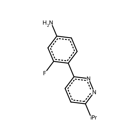 CC(C)c1ccc(-c2ccc(N)cc2F)nn1